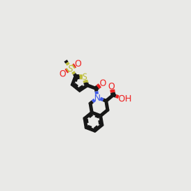 CS(=O)(=O)c1ccc(C(=O)N2Cc3ccccc3CC2C(=O)O)s1